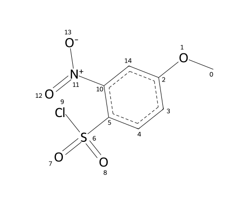 COc1ccc(S(=O)(=O)Cl)c([N+](=O)[O-])c1